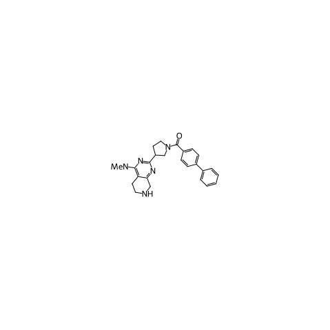 CNc1nc(C2CCN(C(=O)c3ccc(-c4ccccc4)cc3)C2)nc2c1CCNC2